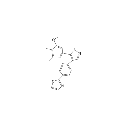 COc1cc(-c2sncc2-c2ccc(-c3ncco3)cc2)cc(C)c1C